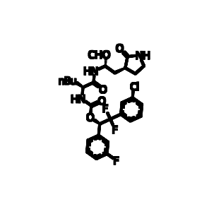 CCCC[C@H](NC(=O)O[C@H](c1cccc(F)c1)C(F)(F)c1cccc(Cl)c1)C(=O)N[C@H](C=O)C[C@@H]1CCNC1=O